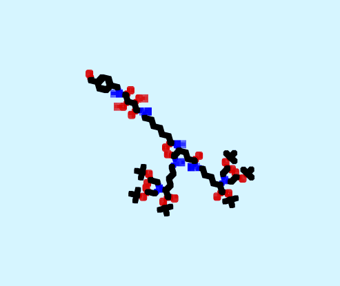 CC(C)(C)OC(=O)CN(CC(=O)OC(C)(C)C)C(CCCCNC(=O)CCC(NC(=O)CCCCCCNC(=O)C(O)C(O)C(=O)NCc1ccc(C=O)cc1)C(=O)NCCCCC(C(=O)OC(C)(C)C)N(CC(=O)OC(C)(C)C)CC(=O)OC(C)(C)C)C(=O)OC(C)(C)C